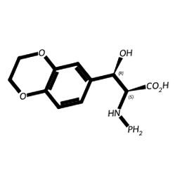 O=C(O)[C@@H](NP)[C@H](O)c1ccc2c(c1)OCCO2